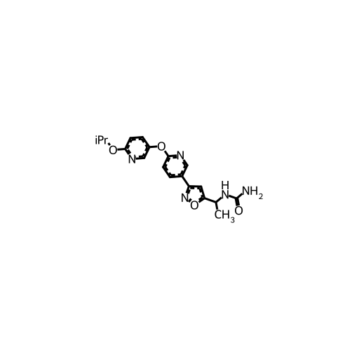 CC(C)Oc1ccc(Oc2ccc(-c3cc(C(C)NC(N)=O)on3)cn2)cn1